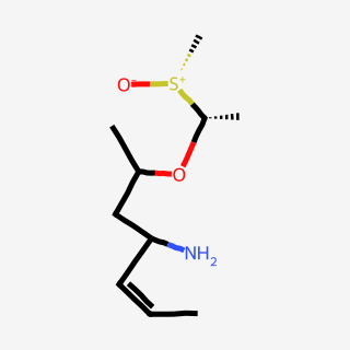 C/C=C\C(N)CC(C)O[C@@H](C)[S@@+](C)[O-]